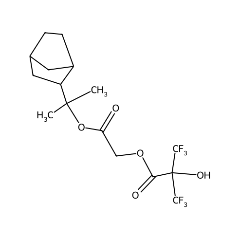 CC(C)(OC(=O)COC(=O)C(O)(C(F)(F)F)C(F)(F)F)C1CC2CCC1C2